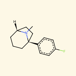 CN1[C@@H]2CCC[C@@]1(c1ccc(F)cc1)CC2